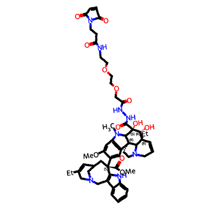 CCC1=CC2CN(C1)Cc1c([nH]c3ccccc13)[C@@](C(=O)OC)(c1cc3c(cc1OC)N(C)C1[C@]34CCN3CC=C[C@](CC)(C34)[C@@H](O)[C@]1(O)C(=O)NNC(=O)COCCOCCNC(=O)CCN1C(=O)C=CC1=O)C2